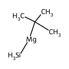 C[C](C)(C)[Mg][SiH3]